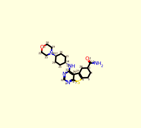 NC(=O)C1CCc2sc3ncnc(N[C@H]4CC[C@H](N5CCOCC5)CC4)c3c2C1